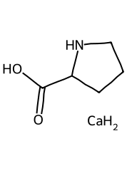 O=C(O)C1CCCN1.[CaH2]